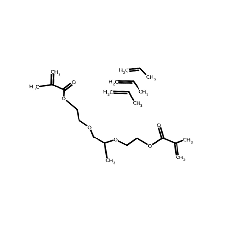 C=C(C)C(=O)OCCOCC(C)OCCOC(=O)C(=C)C.C=CC.C=CC.C=CC